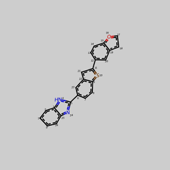 c1ccc2[nH]c(-c3ccc4sc(-c5ccc6occc6c5)cc4c3)nc2c1